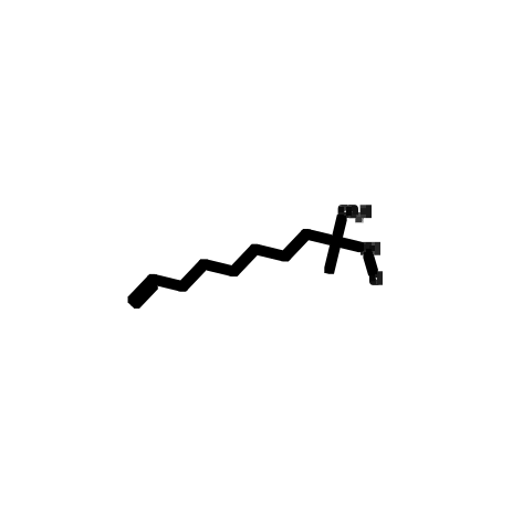 C=CCCCCCCC(C)(NCl)C(=O)O